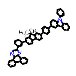 CC1(C)c2cc(-c3ccc(-c4ccc5c(c4)c4ccccc4n5-c4ccccc4)cc3)ccc2-c2ccc(-c3cccc(-c4cnc5c6ccccc6c6ccccc6c5n4)c3)cc21